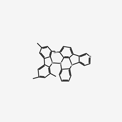 Cc1cc(C)c2c(c1)c1cc(C)cc(C)c1n2B1c2ccccc2-n2c3ccncc3c3ccc(C(C)(C)C)c1c32